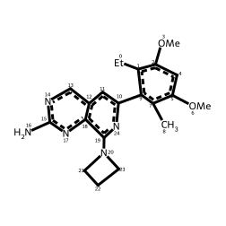 CCc1c(OC)cc(OC)c(C)c1-c1cc2cnc(N)nc2c(N2CCC2)n1